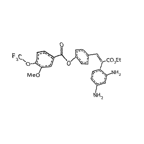 CCOC(=O)C(=Cc1ccc(OC(=O)c2ccc(OC(F)(F)F)c(OC)c2)cc1)c1ccc(N)cc1N